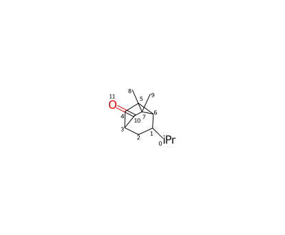 CC(C)C1CC2CCC1C(C)(C)C2=O